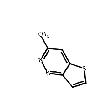 Cc1cc2sccc2nn1